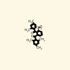 Cc1cc(C)c(C(=O)c2cccc(P=O)c2C(=O)c2c(C)cc(C)cc2C)c(C)c1